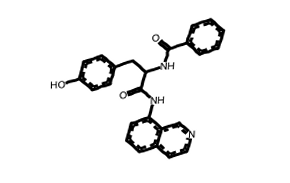 O=C(NC(Cc1ccc(O)cc1)C(=O)Nc1cccc2ccncc12)c1ccccc1